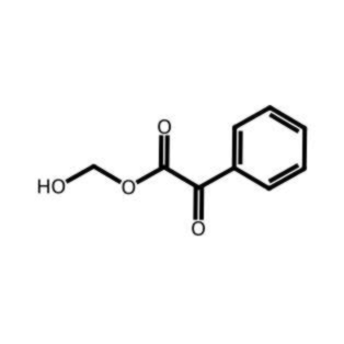 O=C(OCO)C(=O)c1ccccc1